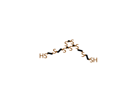 SCCSCCSC1SCSC(SCCSCCS)S1